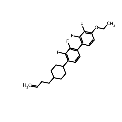 C=CCCC1CCC(c2ccc(-c3ccc(OCC)c(F)c3F)c(F)c2F)CC1